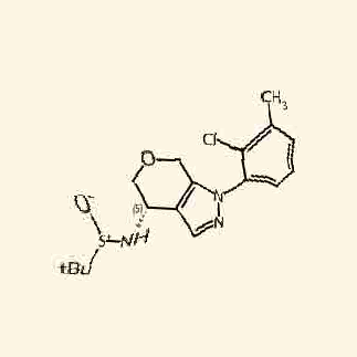 Cc1cccc(-n2ncc3c2COC[C@H]3N[S+]([O-])C(C)(C)C)c1Cl